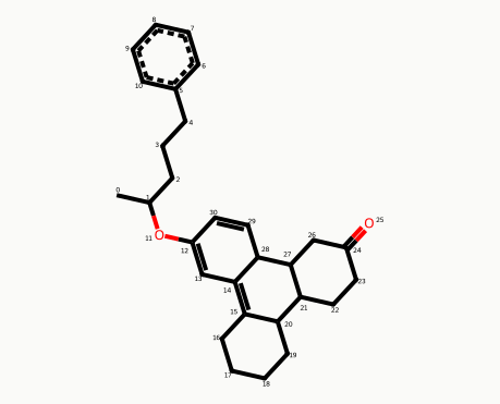 CC(CCCc1ccccc1)OC1=CC2=C3CCCCC3C3CCC(=O)CC3C2C=C1